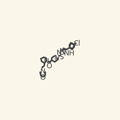 O=C(C1CCN(C2=NN3C=C(c4ccc(Cl)cc4)NC3S2)CC1)N1CCCCC1CCN1CCOCC1